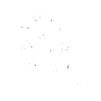 O=[P@@]1(O[C@H]2O[C@H]([C@H](O)CO[PH]3(O)OCC[C@@H](c4cccc(Cl)c4)O3)[C@@H](O)[C@H](O)[C@@H]2O)OCC[C@H](c2cccc(Cl)c2)O1